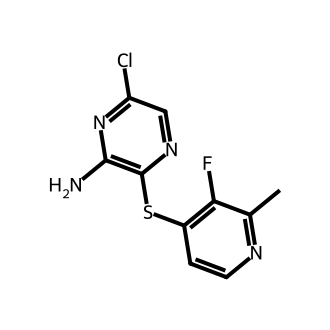 Cc1nccc(Sc2ncc(Cl)nc2N)c1F